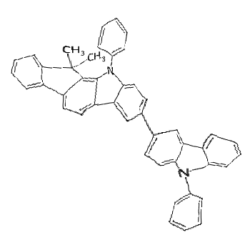 CC1(C)c2ccccc2-c2ccc3c4cc(-c5ccc6c(c5)c5ccccc5n6-c5ccccc5)ccc4n(-c4ccccc4)c3c21